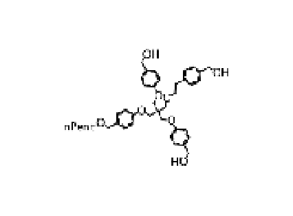 CCCCCOCc1ccc(OCC(COCCc2ccc(CO)cc2)(COc2ccc(CO)cc2)COc2ccc(CO)cc2)cc1